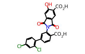 O=C(O)c1cc2c(cc1O)C(=O)N(c1cc(-c3ccc(Cl)cc3Cl)ccc1C(=O)O)C2=O